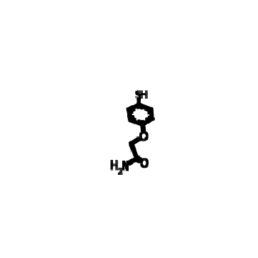 NC(=O)COc1ccc(S)cc1